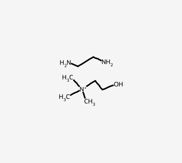 C[N+](C)(C)CCO.NCCN